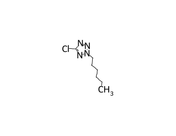 CCCCCCn1nnc(Cl)n1